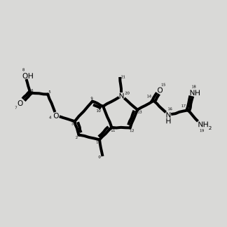 Cc1cc(OCC(=O)O)cc2c1cc(C(=O)NC(=N)N)n2C